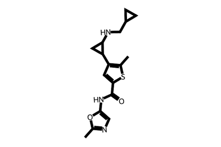 Cc1ncc(NC(=O)c2cc(C3CC3NCC3CC3)c(C)s2)o1